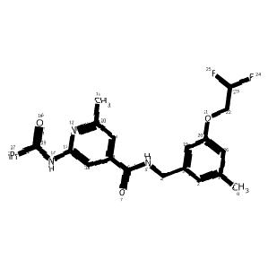 Cc1cc(CNC(=O)c2cc(C)nc(NC(=O)C(C)C)c2)cc(OCC(F)F)c1